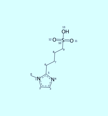 Cn1ccnc1CCCCS(=O)(=O)O